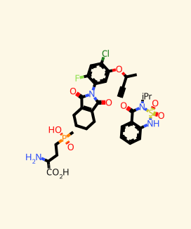 C#CC(C)Oc1cc(N2C(=O)C3=C(CCCC3)C2=O)c(F)cc1Cl.CC(C)N1C(=O)c2ccccc2NS1(=O)=O.CP(=O)(O)CCC(N)C(=O)O